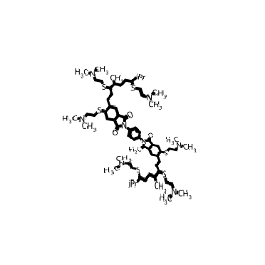 C=C1C2CC(CCC(SCCN(C)C)C(C)CCC(SCCN(C)C)C(C)C)C(SCCN(C)C)CC2C(=O)N1c1ccc(N2C(=O)C3CC(CCC(SCCN(C)C)C(C)CCC(SCCN(C)C)C(C)C)C(SCCN(C)C)CC3C2=O)cc1